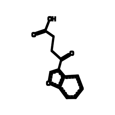 O=C(O)CCC(=O)c1coc2ccccc12